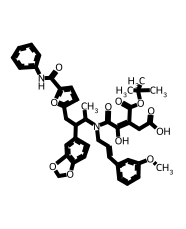 COc1cccc(C=CCN(C(=O)C(O)=C(CC(=O)O)C(=O)OC(C)(C)C)C(C)C(Cc2ccc(C(=O)Nc3ccccc3)o2)c2ccc3c(c2)OCO3)c1